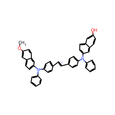 COc1ccc2cc(N(c3ccccc3)c3ccc(/C=C/c4ccc(N(c5ccccc5)c5ccc6cc(O)ccc6c5)cc4)cc3)ccc2c1